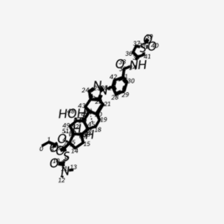 CCC(=O)O[C@]1(C(=O)SC(=O)N(C)C)CC[C@H]2[C@@H]3CCC4=Cc5c(cnn5-c5cccc(C(=O)NC6CCS(=O)(=O)C6)c5)C[C@]4(C)[C@H]3[C@@H](O)C[C@@]21C